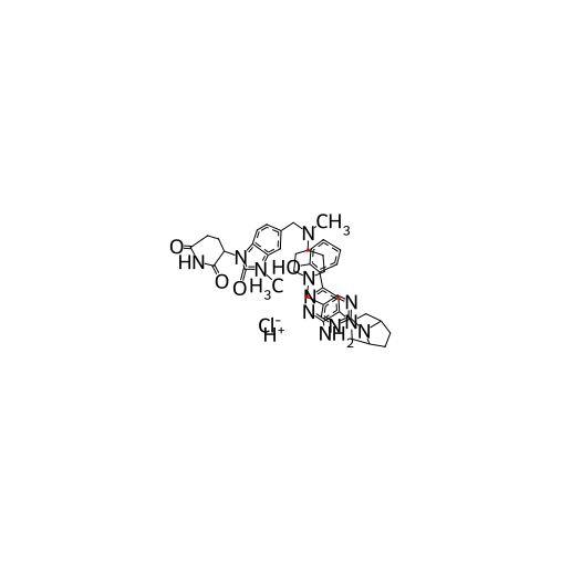 CN(Cc1ccc2c(c1)n(C)c(=O)n2C1CCC(=O)NC1=O)C1CCN(Cc2cnc(N3C4CCC3CN(c3cc(-c5ccccc5O)nnc3N)C4)nc2)CC1.[Cl-].[H+]